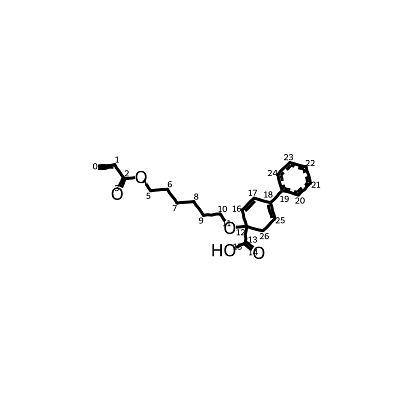 C=CC(=O)OCCCCCCOC1(C(=O)O)C=CC(c2ccccc2)=CC1